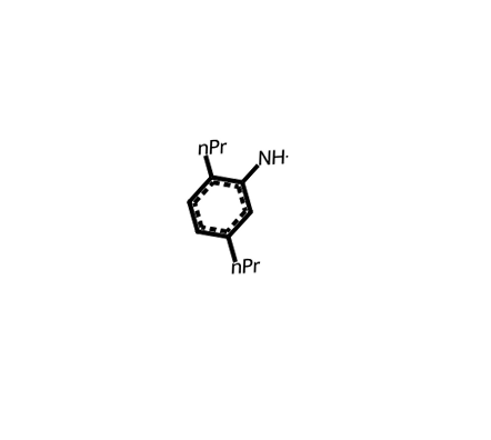 CCCc1ccc(CCC)c([NH])c1